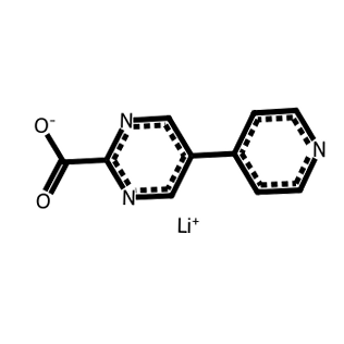 O=C([O-])c1ncc(-c2ccncc2)cn1.[Li+]